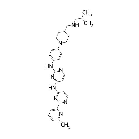 Cc1cccc(-c2nccc(Nc3ccnc(Nc4ccc(N5CCC(CNCC(C)C)CC5)cc4)n3)n2)n1